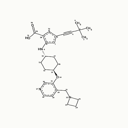 CC(C)(C)C#Cc1cc(N[C@H]2CC[C@H](Oc3cnccc3CN3CCC3)CC2)c(C(=O)O)s1